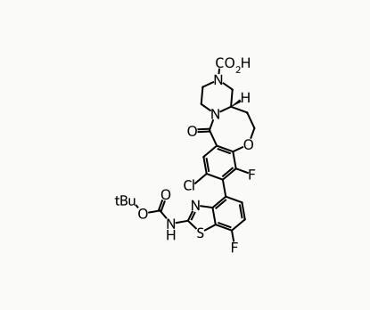 CC(C)(C)OC(=O)Nc1nc2c(-c3c(Cl)cc4c(c3F)OCC[C@H]3CN(C(=O)O)CCN3C4=O)ccc(F)c2s1